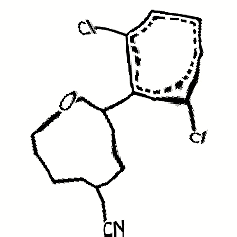 N#CC1CCOC(c2c(Cl)cccc2Cl)C1